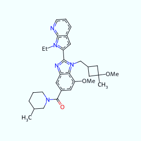 CCn1c(-c2nc3cc(C(=O)N4CCCC(C)C4)cc(OC)c3n2CC2CC(C)(OC)C2)cc2cccnc21